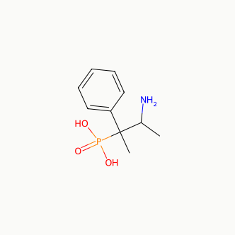 CC(N)C(C)(c1ccccc1)P(=O)(O)O